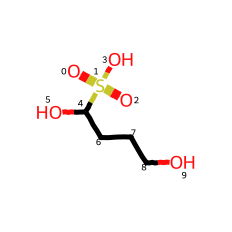 O=S(=O)(O)C(O)CCCO